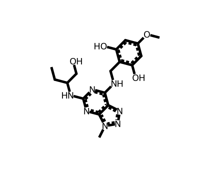 CCC(CO)Nc1nc(NCc2c(O)cc(OC)cc2O)c2nnn(C)c2n1